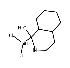 CC1([SiH](Cl)Cl)NCCC2CCCCC21